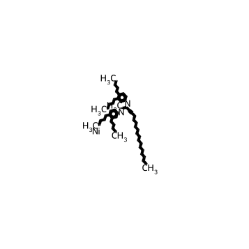 CCCCCCCCCCCCCCCCC#CC(=Nc1ccc(CCCCC)c(CCCCC)c1)C(C)=Nc1ccc(CCCCC)c(CCCCC)c1.[Ni]